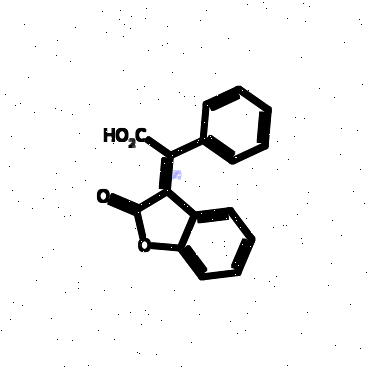 O=C(O)/C(=C1\C(=O)Oc2ccccc21)c1ccccc1